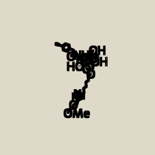 C#Cc1ccc(CC(=O)NC[C@@H](O)[C@@H](O)[C@@H]2O[C@@H](OCCCCCCn3cc(COCCOC)nn3)C[C@H](O)[C@H]2NC(=O)CO)cc1